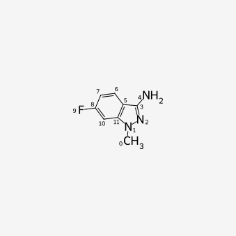 Cn1nc(N)c2ccc(F)cc21